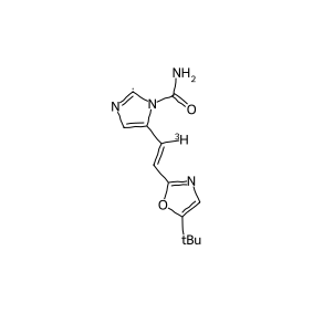 [3H]/C(=C\c1ncc(C(C)(C)C)o1)c1cn[c]n1C(N)=O